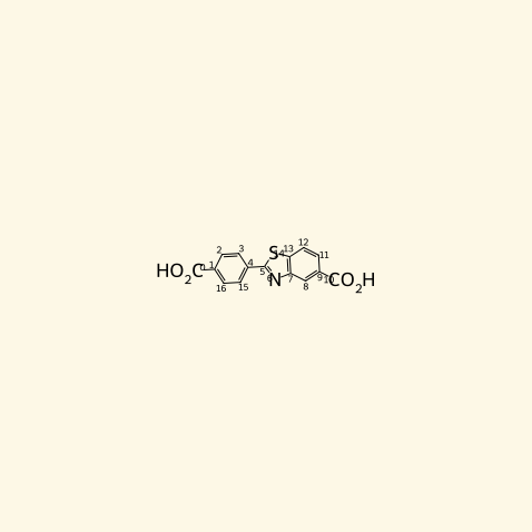 O=C(O)c1ccc(-c2nc3cc(C(=O)O)ccc3s2)cc1